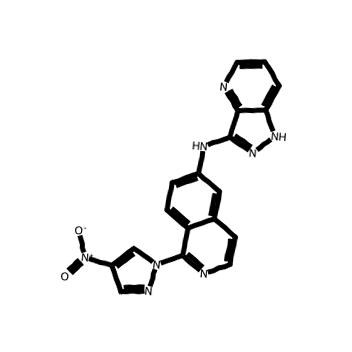 O=[N+]([O-])c1cnn(-c2nccc3cc(Nc4n[nH]c5cccnc45)ccc23)c1